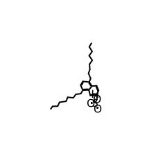 CCCCCCCCCc1ccc(CCCCCCCCC)c2cc(O[SH](=O)=O)ccc12